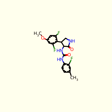 COc1cc(F)c(C2CNC(=O)C2NC(=O)Nc2ccc(C)cc2F)c(F)c1